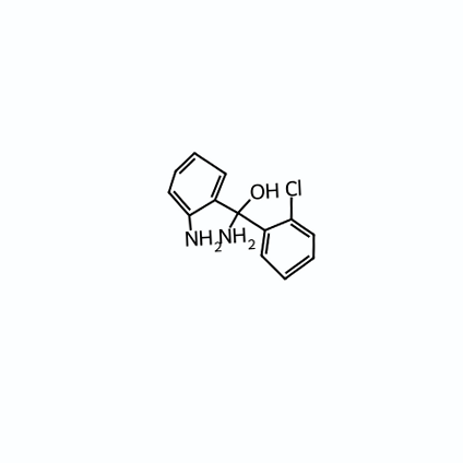 Nc1ccccc1C(N)(O)c1ccccc1Cl